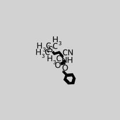 CC(C#N)(CCS(C)(C)C)NC(=O)OCc1ccccc1